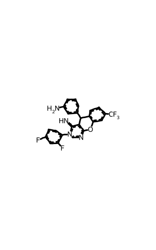 N=c1c2c(ncn1-c1ccc(F)cc1F)Oc1cc(C(F)(F)F)ccc1C2c1cccc(N)c1